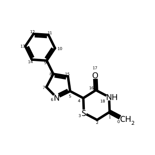 C=C1CSC(C2=NCC(c3ccccc3)=C2)C(=O)N1